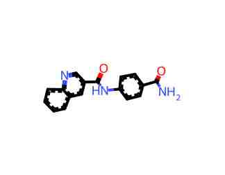 NC(=O)c1ccc(NC(=O)c2cnc3ccccc3c2)cc1